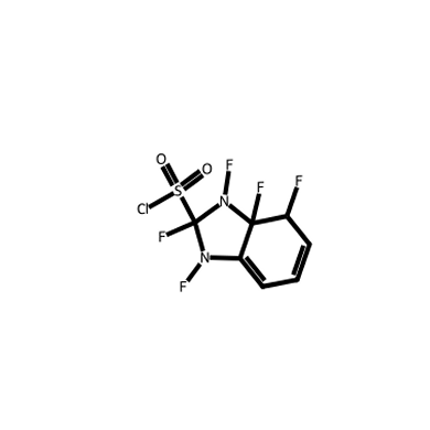 O=S(=O)(Cl)C1(F)N(F)C2=CC=CC(F)C2(F)N1F